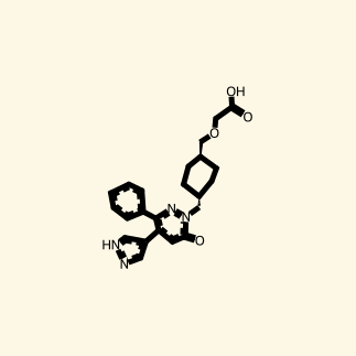 O=C(O)COC[C@H]1CC[C@H](Cn2nc(-c3ccccc3)c(-c3cn[nH]c3)cc2=O)CC1